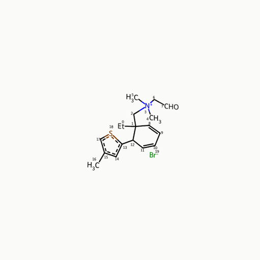 CCC1(C[N+](C)(C)CC=O)C=CC=CC1c1cc(C)cs1.[Br-]